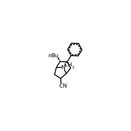 CCCC[C@H]1C(c2ccccc2)CC2C(C#N)CC1N2C